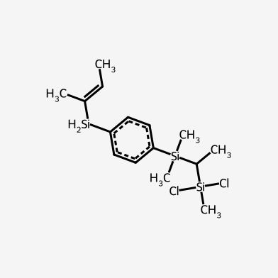 CC=C(C)[SiH2]c1ccc([Si](C)(C)C(C)[Si](C)(Cl)Cl)cc1